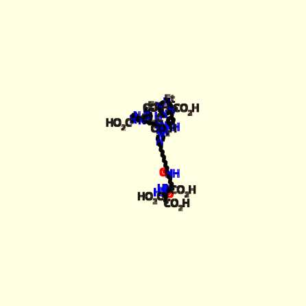 CCN1CCN(CC)CCN(CC(=O)O)C(Cc2ccc(Nc3nc(N[C@@H](CCCCN(Cc4nccn4CC(=O)O)Cc4nccn4CC(=O)O)C(=O)O)nc(N4CCN(CCCCCCCCCCC(=O)NCCCC[C@H](NC(=O)N[C@@H](CCC(=O)O)C(=O)O)C(=O)O)CC4)n3)cc2)CN(CC(=O)O)CC1